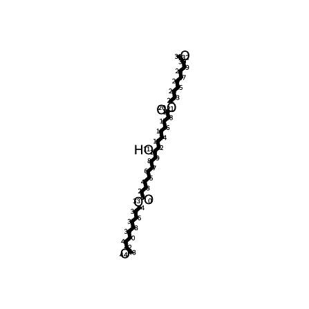 O=C(CCCCCCCCC(O)CCCCCCCC(=O)OCCCCCCCCC1CO1)OCCCCCCCCC1CO1